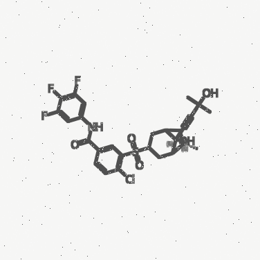 C[C@H]1CC2CC(S(=O)(=O)c3cc(C(=O)Nc4cc(F)c(F)c(F)c4)ccc3Cl)CC1[C@@]2(O)C#CC(C)(C)O